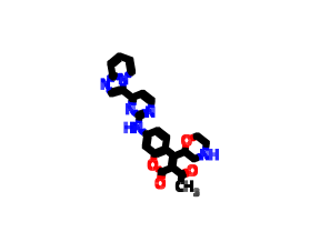 CC(=O)c1c(C2CNCCO2)c2ccc(Nc3nccc(-c4cnc5ccccn45)n3)cc2oc1=O